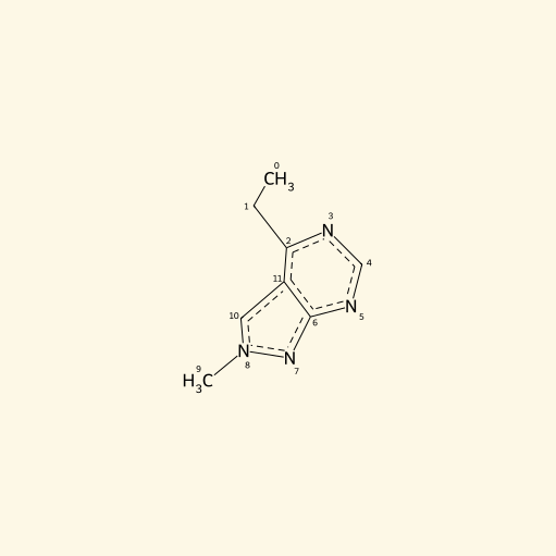 CCc1ncnc2nn(C)cc12